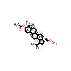 COC=C[C@]12CCC(C(C)C)=C1[C@H]1CC[C@@H]3[C@@]4(C)CC[C@H](OC(C)=O)C(C)(C)[C@@H]4CC[C@@]3(C)[C@]1(C)CC2